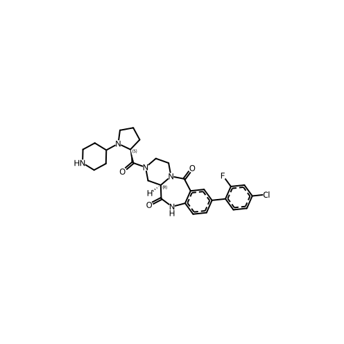 O=C1Nc2ccc(-c3ccc(Cl)cc3F)cc2C(=O)N2CCN(C(=O)[C@@H]3CCCN3C3CCNCC3)C[C@H]12